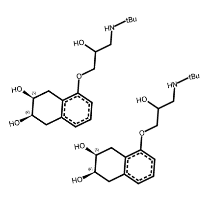 CC(C)(C)NCC(O)COc1cccc2c1C[C@H](O)[C@H](O)C2.CC(C)(C)NCC(O)COc1cccc2c1C[C@H](O)[C@H](O)C2